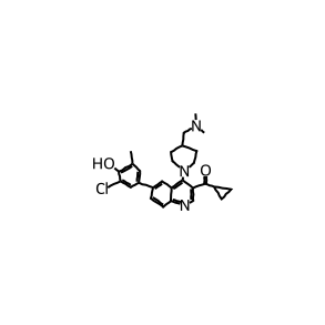 Cc1cc(-c2ccc3ncc(C(=O)C4CC4)c(N4CCC(CN(C)C)CC4)c3c2)cc(Cl)c1O